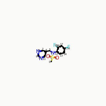 CS(=O)(=O)N(Cc1cncnc1)c1ccc(F)cc1F